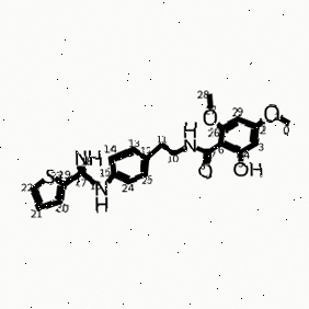 COc1cc(O)c(C(=O)NCCc2ccc(NC(=N)c3cccs3)cc2)c(OC)c1